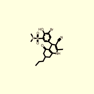 CCCC1CC(=O)C2=C(C1)NC(C)=C(C#N)C2c1cc(Br)c(O)c(S(=O)(=O)N(C)C)c1